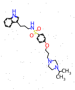 CC(C)N1CCN(CCCOc2ccc(S(=O)(=O)NCCCc3c[nH]c4ccccc34)cc2)CC1